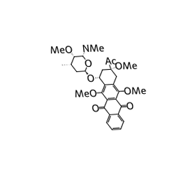 CN[C@@H]1O[C@@H](O[C@@H]2C[C@@](OC)(C(C)=O)Cc3c(OC)c4c(c(OC)c32)C(=O)c2ccccc2C4=O)C[C@H](C)[C@@H]1OC